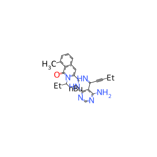 CCC#CC(=N)c1c(N)ncnc1NCc1cc2cccc(C)c2c(=O)n1C(CC)CCCC